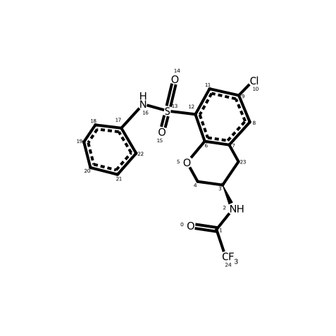 O=C(N[C@H]1COc2c(cc(Cl)cc2S(=O)(=O)Nc2ccccc2)C1)C(F)(F)F